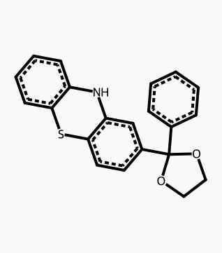 c1ccc(C2(c3ccc4c(c3)Nc3ccccc3S4)OCCO2)cc1